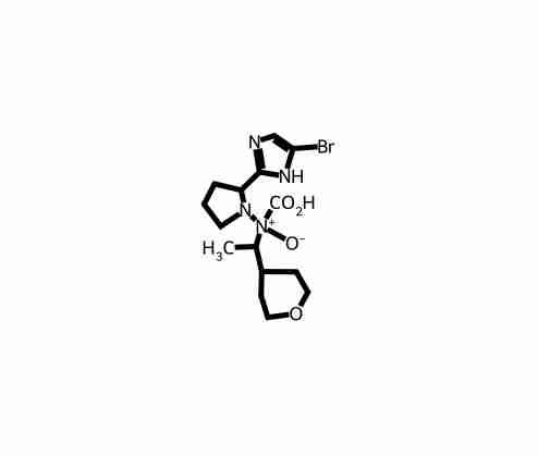 CC(C1CCOCC1)[N+]([O-])(C(=O)O)N1CCCC1c1ncc(Br)[nH]1